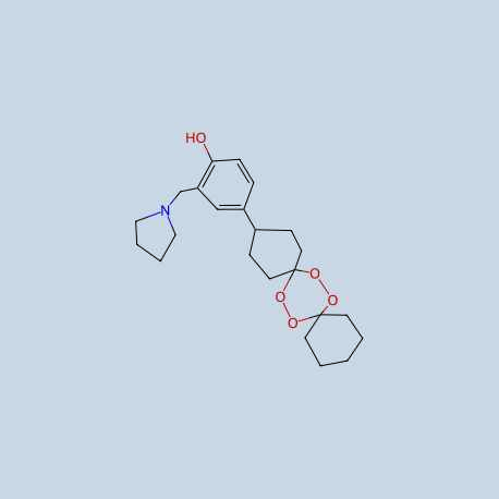 Oc1ccc(C2CCC3(CC2)OOC2(CCCCC2)OO3)cc1CN1CCCC1